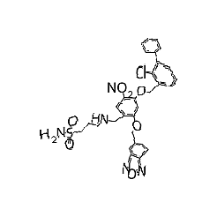 NS(=O)(=O)CCCNCc1cc([N+](=O)[O-])c(OCc2cccc(-c3ccccc3)c2Cl)cc1OCc1ccc2nonc2c1